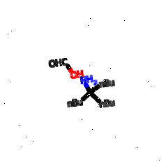 CCCCC(N)(CCCC)CCCC.O=CO